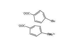 CC(C)(C)c1ccc(C(=O)[O-])cc1.CC(C)(C)c1ccc(C(=O)[O-])cc1.[Pb+2]